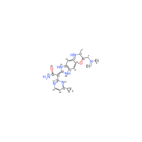 CCN(CC)CC(=O)C(C)Nc1ccc2c(c1)NC(=C(C(N)=O)c1nccc(C(F)(F)F)n1)N2